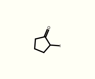 O=C1CCCC1I